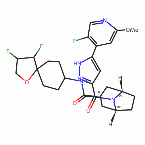 COc1cc(-c2cc(C(=O)N3[C@@H]4CC[C@H]3C[C@H](C(=O)NC3CCC5(CC3)OCC(F)C5F)C4)n[nH]2)c(F)cn1